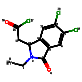 CC(C)CN1C(=O)c2cc(Cl)c(Cl)cc2C1CC(=O)Cl